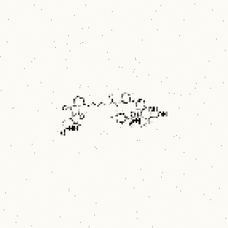 Cc1ccc(S(=O)(=O)N2CC[C@@H]3[C@H](CO)Nc4ccc(-c5cccc(NC(=O)CCCCCc6cccc7c6C(=O)N(C6CCC(=O)NC6=O)C7=O)c5)cc4[C@@H]32)cc1